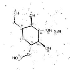 O=S(=O)(O)O[C@@H]1O[C@H](CO)[C@@H](O)[C@H](O)[C@H]1O.[NaH]